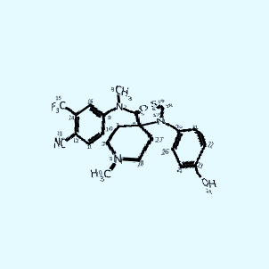 CN1CCC(C(=O)N(C)c2ccc(C#N)c(C(F)(F)F)c2)(N(C=S)c2ccc(O)cc2)CC1